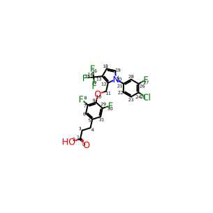 O=C(O)CCc1cc(F)c(OCc2c(C(F)(F)F)ccn2-c2ccc(Cl)c(F)c2)c(F)c1